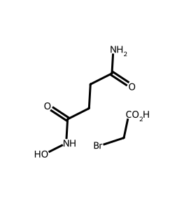 NC(=O)CCC(=O)NO.O=C(O)CBr